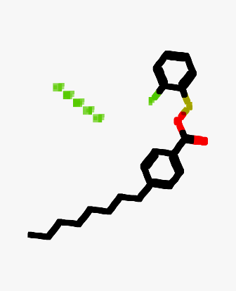 CCCCCCCCc1ccc(C(=O)OSc2ccccc2F)cc1.F.F.F.F.F